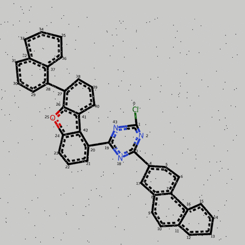 Clc1nc(-c2ccc3c(ccc4ccccc43)c2)nc(-c2cccc3oc4c(-c5cccc6ccccc56)cccc4c23)n1